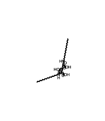 CCCCCCCCCCCCCCCCCCNC(=O)CN(CCN(CCN(CC(=O)O)CC(=O)NCCCCCCCCCCCCCCCCCC)CC(=O)O)CC(=O)O